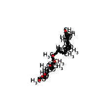 CSCCC(NC(=O)NCC(=O)OC1CC(C)(C)C(C=CC(C)=CC=CC(C)=CC=CC=C(C)C=CC=C(C)C=CC2=C(C)C(=O)C(OC(=O)CNC(=O)NC(CCSC)C(=O)O)CC2(C)C)=C(C)C1=O)C(=O)O